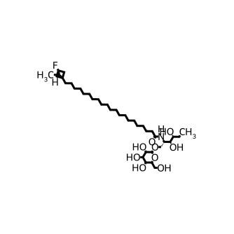 CC[C@@H](O)[C@@H](O)[C@H](COC1OC(CO)C(O)C(O)C1O)NC(=O)CCCCCCCCCCCCCCCCCCCCC12CC(F)(C1)[C@@H]2C